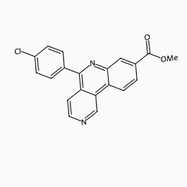 COC(=O)c1ccc2c(c1)nc(-c1ccc(Cl)cc1)c1ccncc12